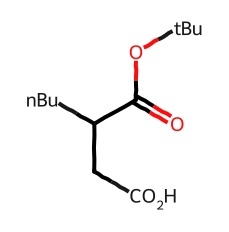 CCCCC(CC(=O)O)C(=O)OC(C)(C)C